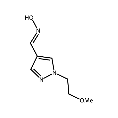 COCCn1cc(C=NO)cn1